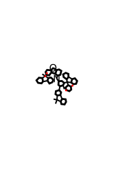 Cc1ccccc1C1(c2cc(N(c3ccc4c(c3)C(C)(C)c3ccccc3-4)c3cccc4oc5ccccc5c34)cc(-c3ccc4c(c3)-c3ccccc3C4(C)C)c2C)c2ccccc2-c2ccccc21